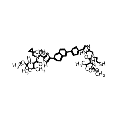 COC(=O)N[C@H](C(=O)N(CCS)Cc1ncc(-c2ccc(-c3ccc4cc(-c5c[nH]c([C@H](C)N(CC6(C)CC6)C(=O)[C@@H](NC(=O)OC)C(C)C)n5)ccc4c3)cc2)[nH]1)C(C)C